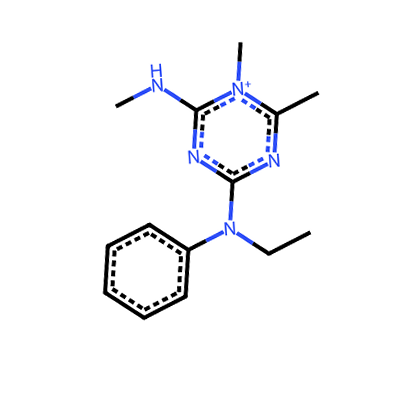 CCN(c1ccccc1)c1nc(C)[n+](C)c(NC)n1